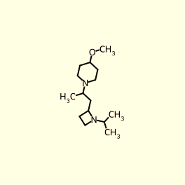 COC1CCN(C(C)CC2CCN2C(C)C)CC1